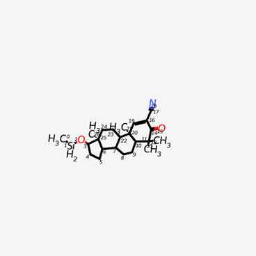 C[SiH2]OC1CCC2C3CCC4C(C)(C)C(=O)C(C#N)=C[C@]4(C)C3CC[C@]12C